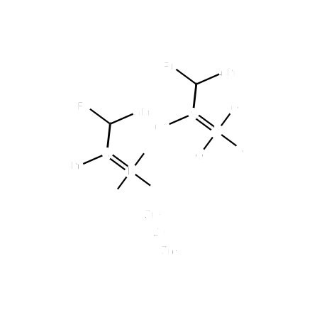 CCCC(CC)S(C(C)C)=P([O-])([O-])[S-].CCCC(CC)S(C(C)C)=P([O-])([O-])[S-].[Zn+2].[Zn+2].[Zn+2]